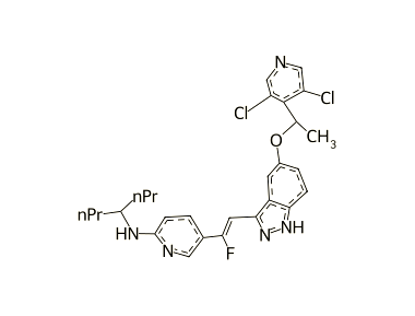 CCCC(CCC)Nc1ccc(/C(F)=C/c2n[nH]c3ccc(OC(C)c4c(Cl)cncc4Cl)cc23)cn1